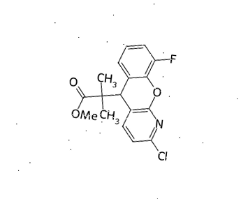 COC(=O)C(C)(C)C1c2ccc(Cl)nc2Oc2c(F)cccc21